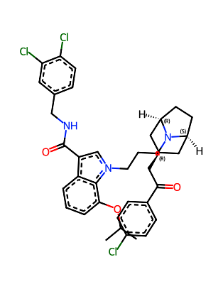 CC(C)Oc1cccc2c(C(=O)NCc3ccc(Cl)c(Cl)c3)cn(CCCN3[C@@H]4CC[C@H]3C[C@@H](CC(=O)c3ccc(Cl)cc3)C4)c12